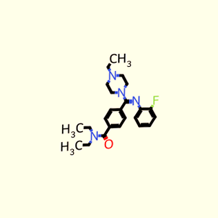 CCN1CCN(C(=Nc2ccccc2F)c2ccc(C(=O)N(CC)CC)cc2)CC1